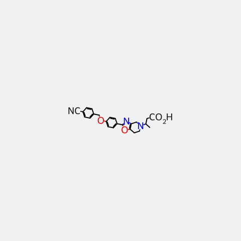 CC(CC(=O)O)N1CCc2oc(-c3ccc(OCc4ccc(C#N)cc4)cc3)nc2C1